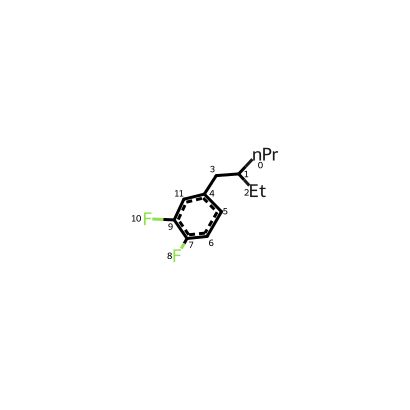 CCCC(CC)Cc1ccc(F)c(F)c1